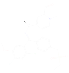 CCS(=O)(=O)Cc1ccc2c(c1)C1=CN(C)C(C=O)C=C1[C@H](C)N=C2c1cc(OC)c(F)cc1Cl